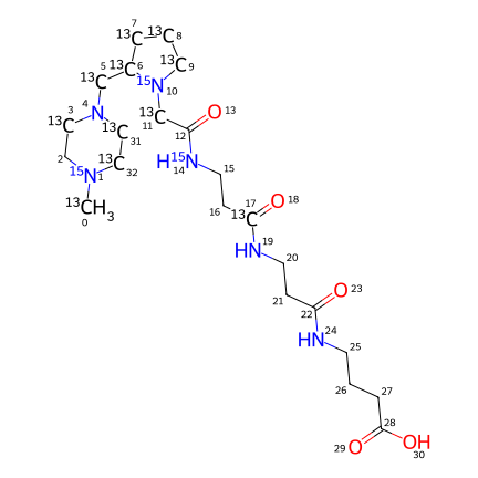 [13CH3][15N]1C[13CH2]N([13CH2][13CH]2[13CH2][13CH2][13CH2][15N]2[13CH2]C(=O)[15NH]CC[13C](=O)NCCC(=O)NCCCC(=O)O)[13CH2][13CH2]1